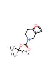 CC(C)(C)OC(=O)N1CCc2occc2C1